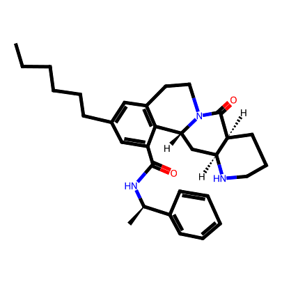 CCCCCCc1cc2c(c(C(=O)N[C@H](C)c3ccccc3)c1)[C@H]1C[C@@H]3NCCC[C@@H]3C(=O)N1CC2